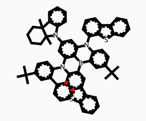 CC(C)(C)c1ccc2c(c1)B1c3cc4c(cc3N(c3ccc(C(C)(C)C)cc3-c3ccccc3)c3cc(N5c6ccccc6C6(C)CCCCC56C)cc(c31)N2c1cccc2c1sc1ccccc12)sc1ccccc14